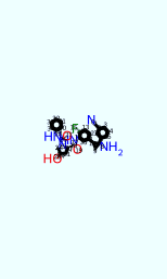 N#Cc1cccc(C2(N)CC2c2ccc(F)c(NC(=O)[C@H]3C[C@@H](O)CN3C(=O)Nc3ccccc3)c2)c1